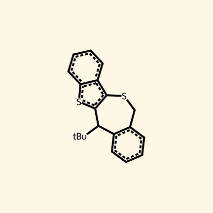 CC(C)(C)C1c2ccccc2CSc2c1sc1ccccc21